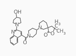 CC1(C)CC2(CCCN(C3CCN(C(=O)c4cc(N5CCC(O)CC5)nc5ccccc45)CC3)C2)C(=O)O1